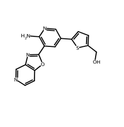 Nc1ncc(-c2ccc(CO)s2)cc1-c1nc2cnccc2o1